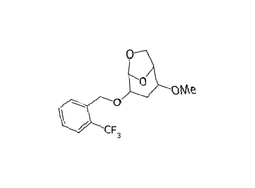 COC1CC(OCc2ccccc2C(F)(F)F)C2OCC1O2